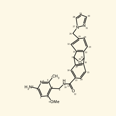 COc1cc(N)nc(C)c1CNC(=O)c1ccc2c(c1)C1OC2c2ccc(Cn3cccn3)cc21